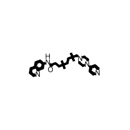 CC(C)(CCC(=O)Nc1ccc2cccnc2c1)CCC(C)(C)CN1CCN(c2ccncc2)CC1